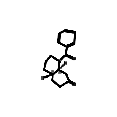 O=C1CC[C@@H]2CCCN(C(=O)c3ccccc3)[C@H]2C1